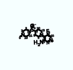 CN1CCN([S+]([O-])C2CCN(c3c(N)cncc3F)CC2)CC1